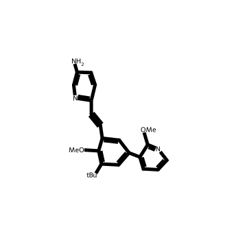 COc1ncccc1-c1cc(C#Cc2ccc(N)cn2)c(OC)c(C(C)(C)C)c1